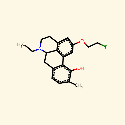 CCN1CCc2cc(OCCF)cc3c2C1Cc1ccc(C)c(O)c1-3